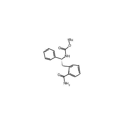 CC(C)(C)OC(=O)N[C@H](Cc1ccccc1C(N)=O)c1ccccc1